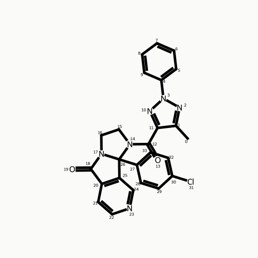 Cc1nn(-c2ccccc2)nc1C(=O)N1CCN2C(=O)c3ccncc3C21c1ccc(Cl)cc1